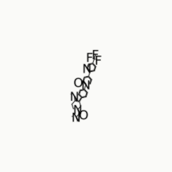 CN(C)C(=O)N1CCc2c(c3ccc(-n4ccc(-c5ccc(C(F)(F)F)cn5)cc4=O)cc3n2C)C1